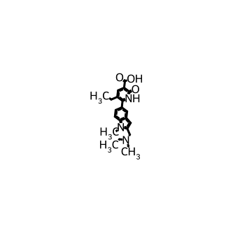 CCc1cc(C(=O)O)c(=O)[nH]c1-c1ccc2c(c1)cc(CN(CC)CC)n2C